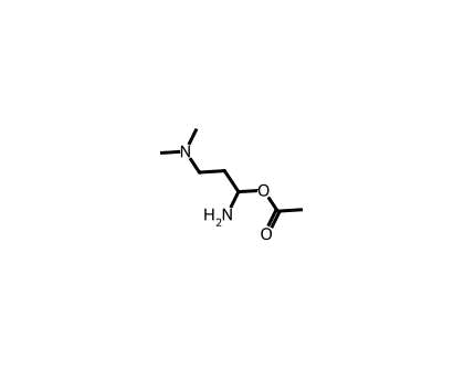 CC(=O)OC(N)CCN(C)C